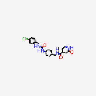 O=C1CC(C(=O)NCC2CCC(NC(=O)NCc3ccc(Cl)cc3)CC2)CCN1